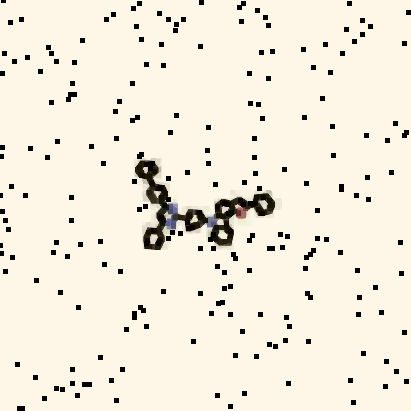 c1ccc(-c2ccc(-c3cc(-c4ccccc4)nc(-c4ccc(-n5c6ccccc6c6c7oc(-c8ccccc8)cc7ccc65)cc4)n3)cc2)cc1